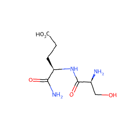 NC(=O)[C@@H](CCC(=O)O)NC(=O)[C@@H](N)CO